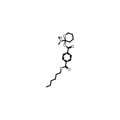 CCCCCCOC(=O)c1ccc(C(=O)OC2([SiH](C)C)CCCCO2)cc1